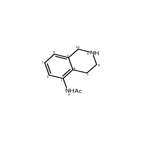 CC(=O)Nc1cccc2c1CCNC2